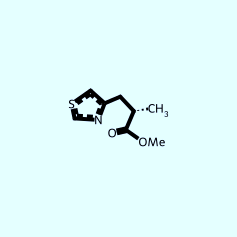 COC(=O)[C@@H](C)Cc1cscn1